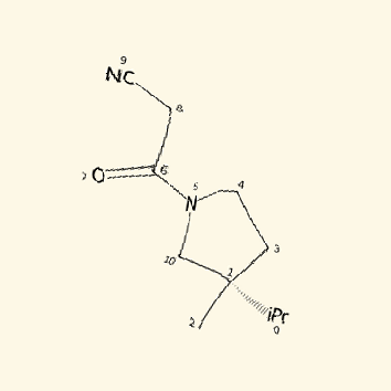 CC(C)[C@@]1(C)CCN(C(=O)CC#N)C1